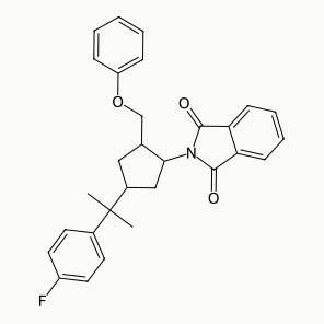 CC(C)(c1ccc(F)cc1)C1CC(COc2ccccc2)C(N2C(=O)c3ccccc3C2=O)C1